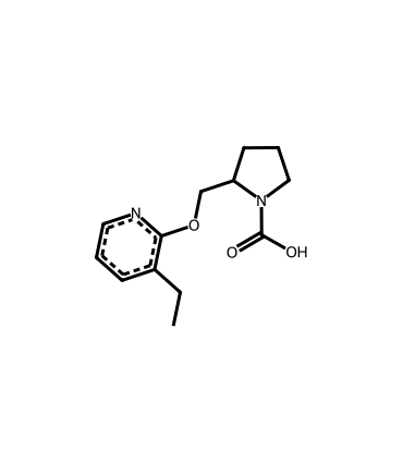 CCc1cccnc1OCC1CCCN1C(=O)O